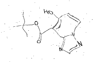 CC(C)(C)OC(=O)c1c(O)ccn2ncnc12